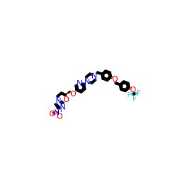 O=[N+]([O-])c1cn2c(n1)O[C@H](COc1ccc(N3CCN(Cc4ccc(OCc5ccc(OC(F)(F)F)cc5)cc4)CC3)nc1)CC2